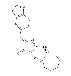 O=C1NC(N[C@H]2CCCCC[C@@H]2O)=N/C1=C\C1=Cc2scnc2CC1